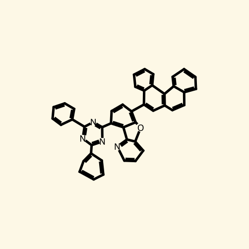 c1ccc(-c2nc(-c3ccccc3)nc(-c3ccc(-c4cc5ccc6ccccc6c5c5ccccc45)c4oc5cccnc5c34)n2)cc1